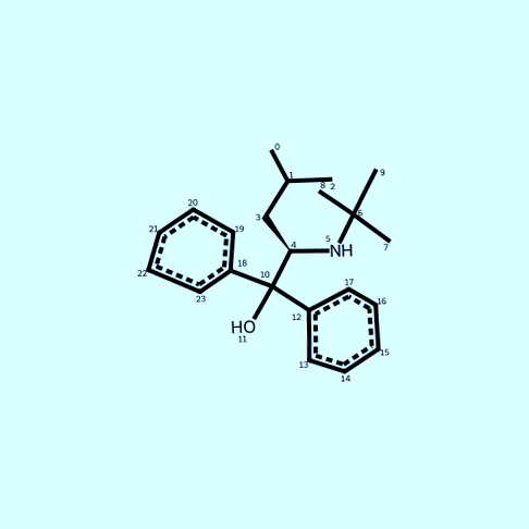 CC(C)C[C@@H](NC(C)(C)C)C(O)(c1ccccc1)c1ccccc1